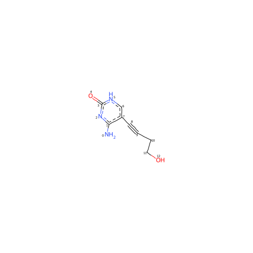 Nc1nc(=O)[nH]cc1C#CCCO